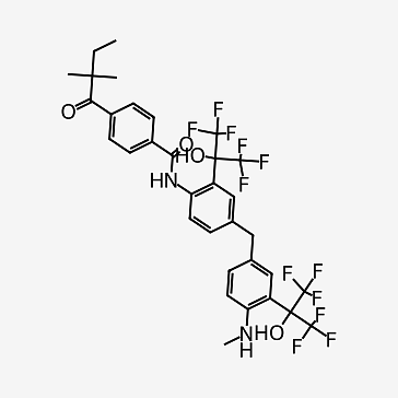 CCC(C)(C)C(=O)c1ccc(C(=O)Nc2ccc(Cc3ccc(NC)c(C(O)(C(F)(F)F)C(F)(F)F)c3)cc2C(O)(C(F)(F)F)C(F)(F)F)cc1